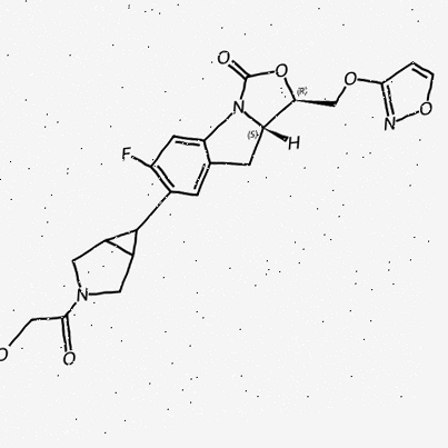 O=C(CO)N1CC2C(C1)C2c1cc2c(cc1F)N1C(=O)O[C@@H](COc3ccon3)[C@@H]1C2